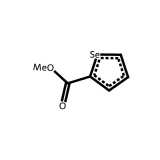 COC(=O)c1ccc[se]1